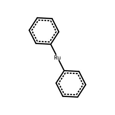 c1cc[c]([Ru][c]2ccccc2)cc1